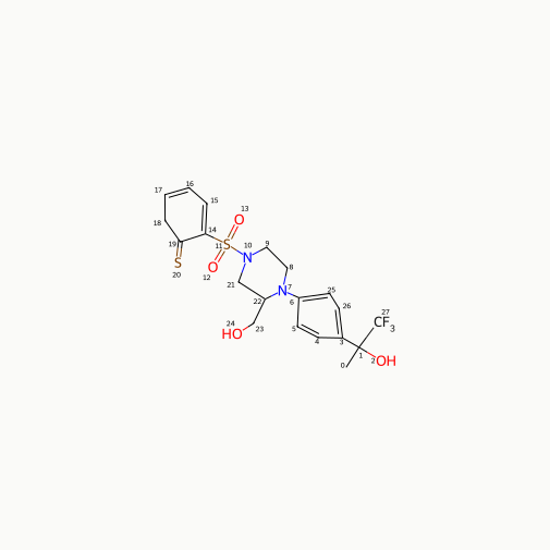 CC(O)(c1ccc(N2CCN(S(=O)(=O)C3=CC=CCC3=S)CC2CO)cc1)C(F)(F)F